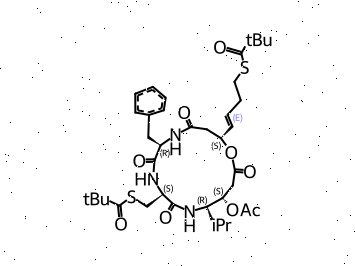 CC(=O)O[C@H]1CC(=O)O[C@H](/C=C/CCSC(=O)C(C)(C)C)CC(=O)N[C@H](Cc2ccccc2)C(=O)N[C@H](CSC(=O)C(C)(C)C)C(=O)N[C@@H]1C(C)C